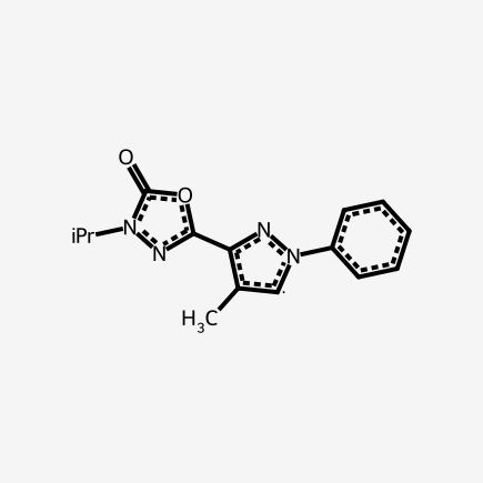 Cc1[c]n(-c2ccccc2)nc1-c1nn(C(C)C)c(=O)o1